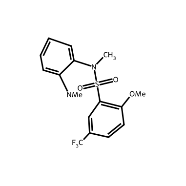 CNc1ccccc1N(C)S(=O)(=O)c1cc(C(F)(F)F)ccc1OC